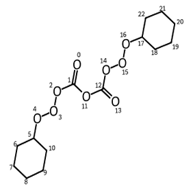 O=C(OOOC1CCCCC1)OC(=O)OOOC1CCCCC1